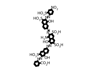 Nc1c(N=Nc2ccc3cc(S(=O)(=O)O)c(N=Nc4ccc([N+](=O)[O-])cc4S(=O)(=O)O)c(O)c3c2)c(S(=O)(=O)O)cc2cc(S(=O)(=O)O)c(N=Nc3ccc4c(O)c(N=Nc5ccccc5C(=O)O)c(S(=O)(=O)O)cc4c3)c(O)c12